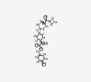 O=C(Nc1ccc(CC2CCN(C(=O)C3CCC3)CC2)cc1)OCc1ccc(Cl)cc1